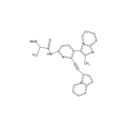 CNC(C)C(=O)Nc1ccc(-c2c(C)nc3ccccn23)c(C#Cc2ccc3ccccn23)n1